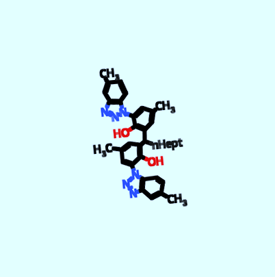 CCCCCCCC(c1cc(C)cc(-n2nnc3cc(C)ccc32)c1O)c1cc(C)cc(-n2nnc3cc(C)ccc32)c1O